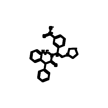 CN(C(=O)C(c1ccccc1)c1ccccc1)[C@H](CN1C[CH]CC1)c1cccc([N+](=O)[O-])c1